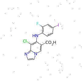 O=C(O)c1cn2ccnc2c(Cl)c1Nc1ccc(I)cc1F